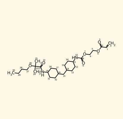 C=CC(=O)OCCOC(=O)NC1CCC(CC2CCC(NC(=O)C(C)(C)OCCCC)CC2)CC1